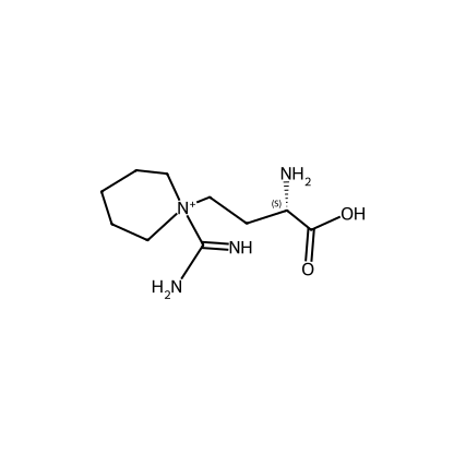 N=C(N)[N+]1(CC[C@H](N)C(=O)O)CCCCC1